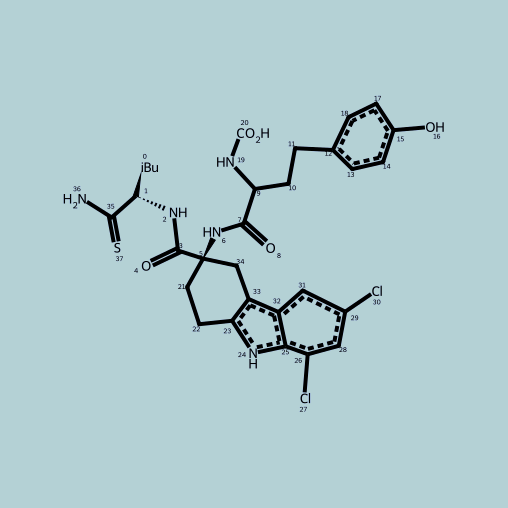 CC[C@H](C)[C@H](NC(=O)[C@@]1(NC(=O)C(CCc2ccc(O)cc2)NC(=O)O)CCc2[nH]c3c(Cl)cc(Cl)cc3c2C1)C(N)=S